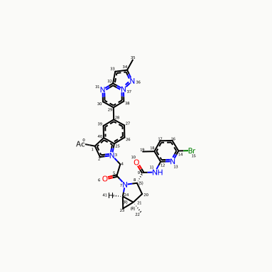 CC(=O)c1cn(CC(=O)N2[C@H](C(=O)Nc3nc(Br)ccc3C)C[C@@]3(C)C[C@@H]23)c2ccc(-c3cnc4cc(C)nn4c3)cc12